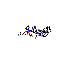 CC(=O)N(C=CC=CC1(C)N(C)c2ccccc2C1(C)C)c1ccccc1.I